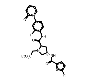 CCOC(=O)CN1C[C@@H](NC(=O)c2ccc(Cl)s2)CC1C(=O)Nc1ccc(-n2ccccc2=O)cc1F